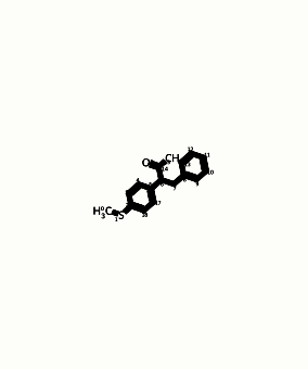 CSc1ccc(C(Cc2ccccc2)C(C)=O)cc1